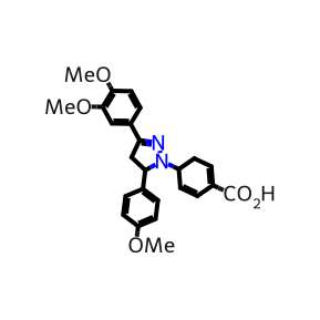 COc1ccc(C2CC(c3ccc(OC)c(OC)c3)=NN2C2C=CC(C(=O)O)=CC2)cc1